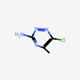 Cc1nc(N)nnc1Cl